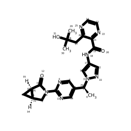 C[C@@H](c1cnc(N2C[C@H]3C[C@H]3C2=O)nc1)n1cc(NC(=O)c2nccnc2CC(C)(C)O)cn1